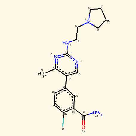 Cc1nc(NCCN2CCCC2)ncc1-c1ccc(F)c(C(N)=O)c1